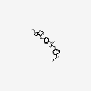 CC(C)n1ccc2c(Oc3ccc(NC(=O)Cc4ccc(OC(F)(F)F)cc4)cc3)ncnc21